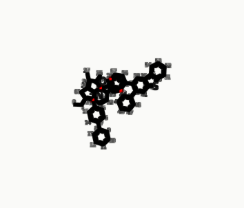 CC/C1=C(c2ccc(-c3ccccc3)cc2)/N=C(/c2ccccc2)C(C)/C(C)=C(\C2=CC=CC3c4cc(-c5cc6c(cc5-c5ccccc5)sc5ccccc56)ccc4OC23)C1